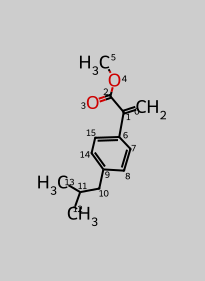 C=C(C(=O)OC)c1ccc(CC(C)C)cc1